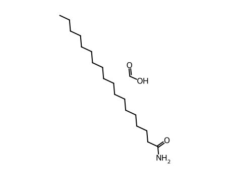 CCCCCCCCCCCCCCCCCC(N)=O.O=CO